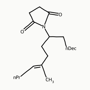 CCCC=C(C)CCC(CCCCCCCCCCC)N1C(=O)CCC1=O